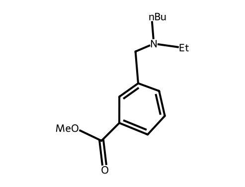 CCCCN(CC)Cc1cccc(C(=O)OC)c1